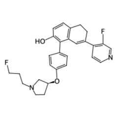 Oc1ccc2c(c1-c1ccc(O[C@H]3CCN(CCCF)C3)cc1)C=C(c1ccncc1F)CC2